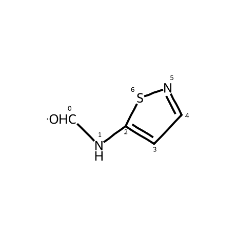 O=[C]Nc1ccns1